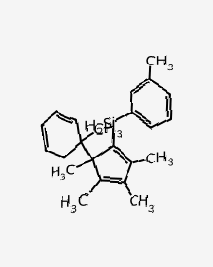 CC1=C(C)C(C)(C2(C)C=CC=CC2)C([SiH2]c2cccc(C)c2)=C1C